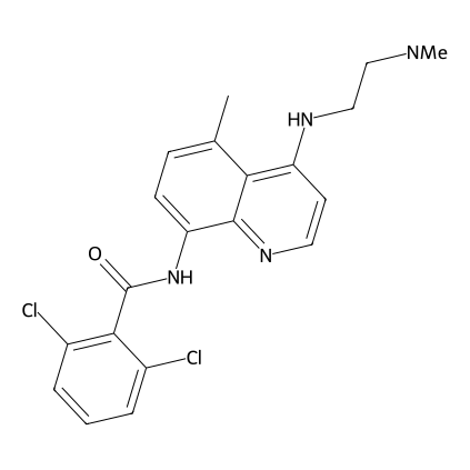 CNCCNc1ccnc2c(NC(=O)c3c(Cl)cccc3Cl)ccc(C)c12